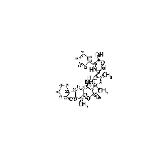 Cc1c(C(C)(C)CC(C)(C)C(=O)NC(C(=O)O)c2ccccc2)c(=O)oc2c(C)c3oc4c(c3cc12)CCCC4